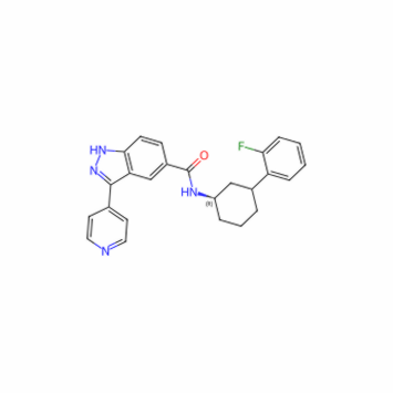 O=C(N[C@@H]1CCCC(c2ccccc2F)C1)c1ccc2[nH]nc(-c3ccncc3)c2c1